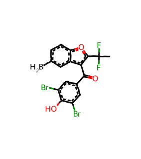 Bc1ccc2oc(C(C)(F)F)c(C(=O)c3cc(Br)c(O)c(Br)c3)c2c1